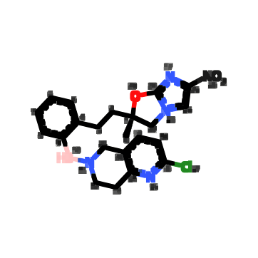 C[C@]1(CCc2ccccc2BN2CCc3nc(Cl)ccc3C2)Cn2cc([N+](=O)[O-])nc2O1